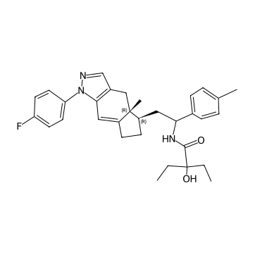 CCC(O)(CC)C(=O)NC(C[C@H]1CCC2=Cc3c(cnn3-c3ccc(F)cc3)C[C@@]21C)c1ccc(C)cc1